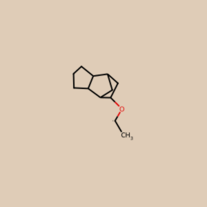 C[CH]OC1CC2CC1C1CCCC21